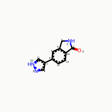 O=C1NCc2cc(-c3cn[nH]c3)ccc21